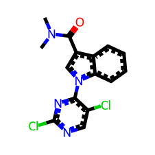 CN(C)C(=O)c1cn(-c2nc(Cl)ncc2Cl)c2ccccc12